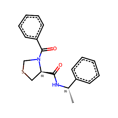 C[C@H](NC(=O)[C@H]1CSCN1C(=O)c1ccccc1)c1ccccc1